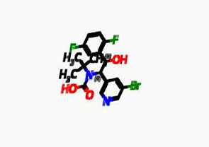 CC(C)(C)N(C(=O)O)[C@H](c1cncc(Br)c1)[C@H](O)c1cc(F)ccc1F